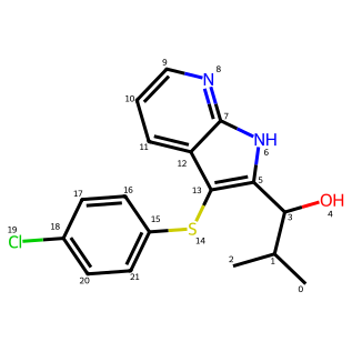 CC(C)C(O)c1[nH]c2ncccc2c1Sc1ccc(Cl)cc1